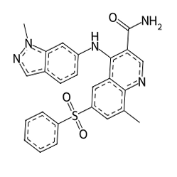 Cc1cc(S(=O)(=O)c2ccccc2)cc2c(Nc3ccc4cnn(C)c4c3)c(C(N)=O)cnc12